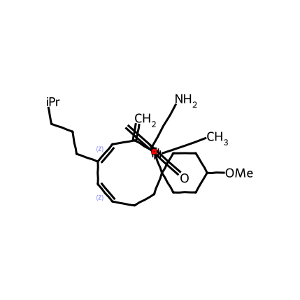 C=C1/C=C(CCCC(C)C)\C=C/CCC2(CCC(OC)CC2)C12N=C(N)N(C)C2=O